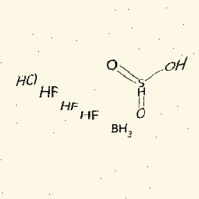 B.Cl.F.F.F.O=[SH](=O)O